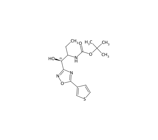 CCC(NC(=O)OC(C)(C)C)[C@H](O)c1noc(-c2ccsc2)n1